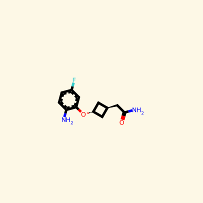 NC(=O)C[C@H]1C[C@H](Oc2cc(F)ccc2N)C1